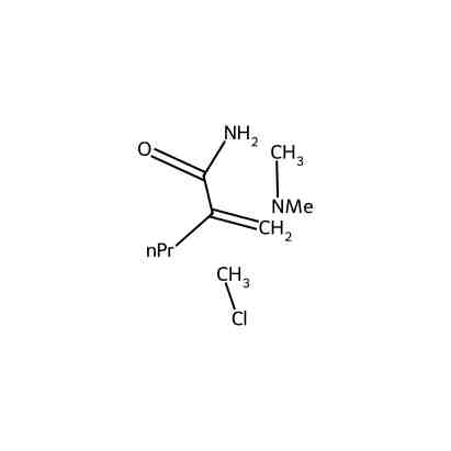 C=C(CCC)C(N)=O.CCl.CNC